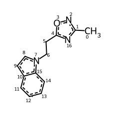 Cc1noc(CCn2ccc3c[c]ccc32)n1